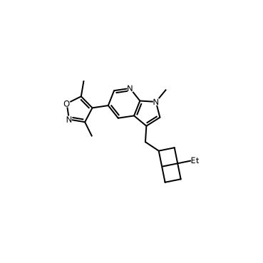 CCC12CCC1C(Cc1cn(C)c3ncc(-c4c(C)noc4C)cc13)C2